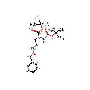 CC(C)(C)OC(=O)N[C@@H](CCNOCc1ccccc1)C(=O)OC(C)(C)C